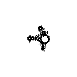 Cc1ccccc1S(=O)(=O)NC(=O)C12CC1/C=C\CCCCCC(NC(=O)OC(C)(C)C)C(=O)N1CC(OC(=O)N3CC4C=CC=C(F)C4C3)CC1C(=O)N2